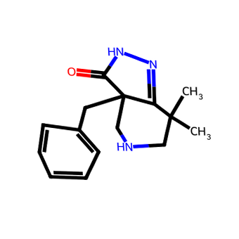 CC1(C)CNCC2(Cc3ccccc3)C(=O)NN=C12